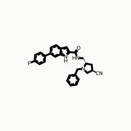 N#C[C@@H]1C[C@@H](CNC(=O)c2cc3ccc(-c4ccc(F)cc4)cc3[nH]2)N(Cc2ccccc2)C1